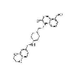 O=Cc1cccc2c1ccc(=O)n2CCN1CCC(NCc2ccc3c(c2)OCCO3)CC1